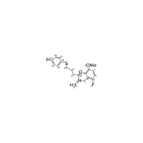 COc1ccc(F)c(CN(C)C(=O)CCCSc2ccc(F)cc2)c1